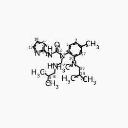 Cc1ccc(N(CNCC(C)C)C(=O)Nc2nccs2)c(N(C)CC(C)C)c1